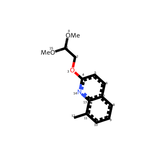 COC(COc1ccc2cccc(C)c2n1)OC